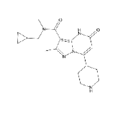 Cc1nn2c(C3CCNCC3)cc(=O)[nH]c2c1C(=O)N(C)CC1CC1